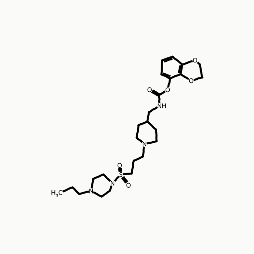 CCCN1CCN(S(=O)(=O)CCCN2CCC(CNC(=O)Oc3cccc4c3OCCO4)CC2)CC1